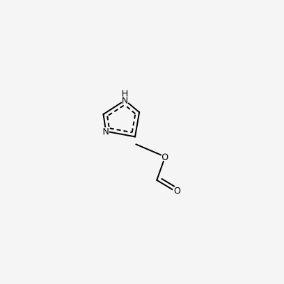 COC=O.c1c[nH]cn1